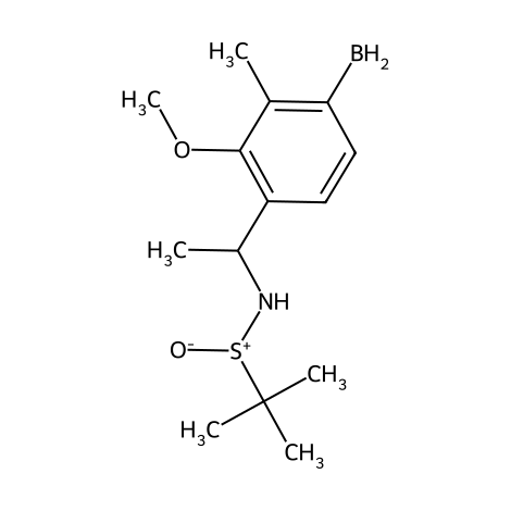 Bc1ccc(C(C)N[S+]([O-])C(C)(C)C)c(OC)c1C